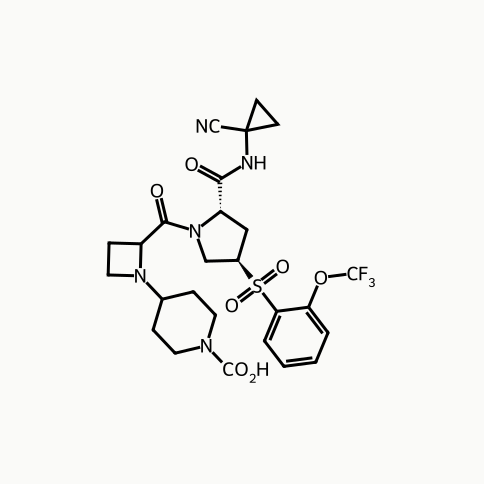 N#CC1(NC(=O)[C@@H]2C[C@@H](S(=O)(=O)c3ccccc3OC(F)(F)F)CN2C(=O)C2CCN2C2CCN(C(=O)O)CC2)CC1